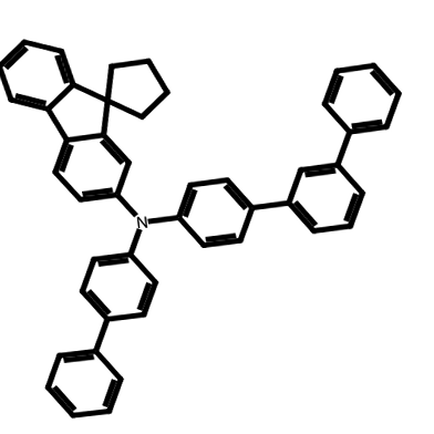 c1ccc(-c2ccc(N(c3ccc(-c4cccc(-c5ccccc5)c4)cc3)c3ccc4c(c3)C3(CCCC3)c3ccccc3-4)cc2)cc1